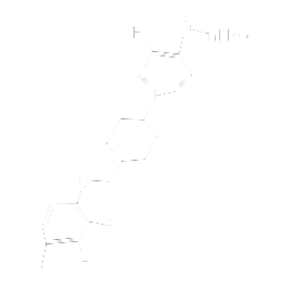 CCCCCCOc1ccc(C2CCC(COc3ccc(C)c(F)c3F)CC2)cc1F